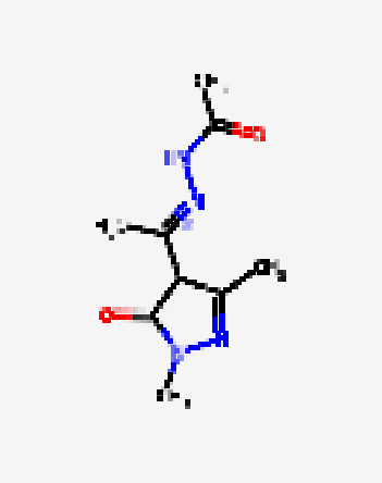 CC(=O)N/N=C(\C)C1C(=O)N(C)N=C1C